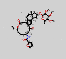 CC[C@H]1CCC[C@H](NC(=O)c2ccco2)[C@@H](C)C(=O)C2=C[C@@H]3[C@@H](C=C[C@@H]4C[C@@H](OC5OC(C)C(OC)C(OC)C5OC)C[C@@H]34)[C@@H]2CC(=O)O1